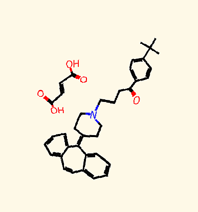 CC(C)(C)c1ccc(C(=O)CCCN2CCC(=C3c4ccccc4C=Cc4ccccc43)CC2)cc1.O=C(O)C=CC(=O)O